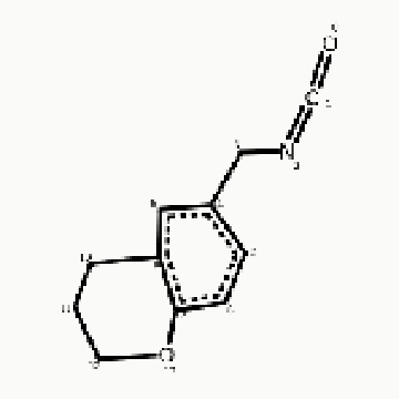 O=C=NCc1ccc2c(c1)CCCO2